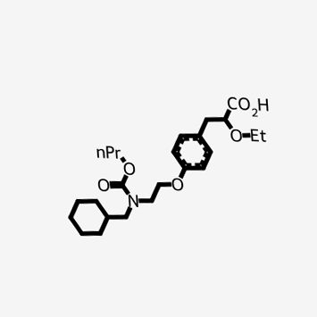 CCCOC(=O)N(CCOc1ccc(CC(OCC)C(=O)O)cc1)CC1CCCCC1